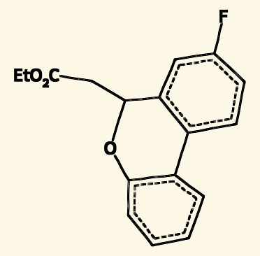 CCOC(=O)CC1Oc2ccccc2-c2ccc(F)cc21